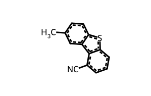 Cc1ccc2sc3cccc(C#N)c3c2c1